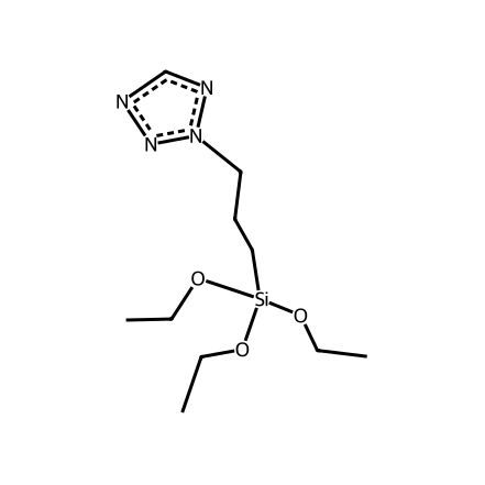 CCO[Si](CCCn1ncnn1)(OCC)OCC